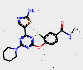 CNC(=O)c1ccc(Oc2nc(-c3cnc(N)s3)nc(N3CCCCC3)n2)c(F)c1